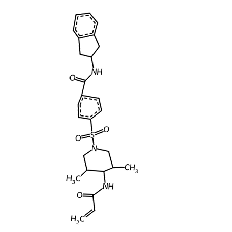 C=CC(=O)NC1C(C)CN(S(=O)(=O)c2ccc(C(=O)NC3Cc4ccccc4C3)cc2)CC1C